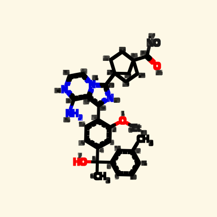 CCOc1cc(C(C)(O)c2cccc(C)c2)ccc1-c1nc(C23CCC(C(=O)N=O)(CC2)C3)n2ccnc(N)c12